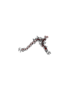 COCCOCCOCCOCCOCCOCCOCCOCCC(=O)NCCCC[C@H](NC(=O)OCC1c2ccccc2-c2ccccc21)C(=O)NCC(=O)NCC(=O)N[C@@H](Cc1ccccc1)C(=O)NCC(=O)NCO[C@H](C(=O)O)C1CC1